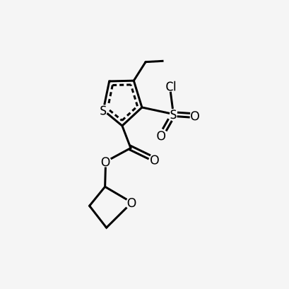 CCc1csc(C(=O)OC2CCO2)c1S(=O)(=O)Cl